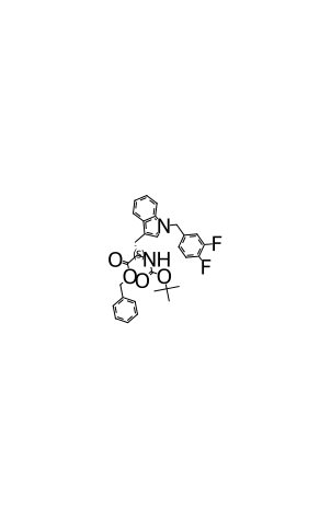 CC(C)(C)OC(=O)N[C@@H](Cc1cn(Cc2ccc(F)c(F)c2)c2ccccc12)C(=O)OCc1ccccc1